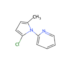 Cc1ccc(Cl)n1-c1ccccn1